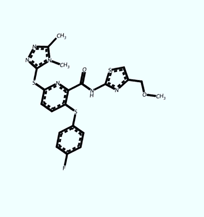 COCc1csc(NC(=O)c2nc(Sc3nnc(C)n3C)ccc2Sc2ccc(F)cc2)n1